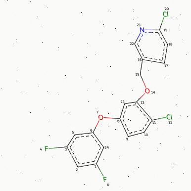 Fc1cc(F)cc(Oc2ccc(Cl)c(OCc3ccc(Cl)nc3)c2)c1